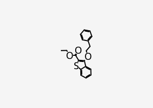 CCOC(=O)c1sc2ccccc2c1OCCc1ccccc1